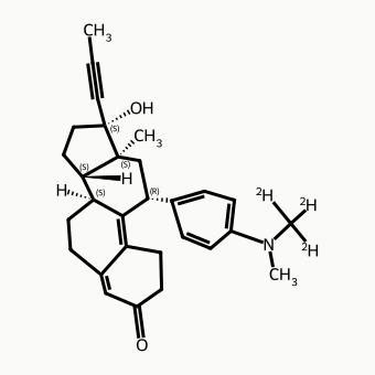 [2H]C([2H])([2H])N(C)c1ccc([C@H]2C[C@@]3(C)[C@@H](CC[C@@]3(O)C#CC)[C@@H]3CCC4=CC(=O)CCC4=C32)cc1